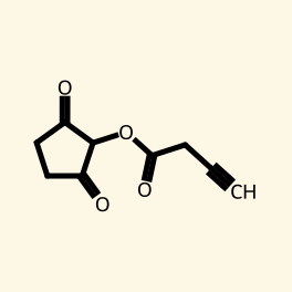 C#CCC(=O)OC1C(=O)CCC1=O